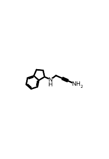 NC#CCNC1CCc2ccccc21